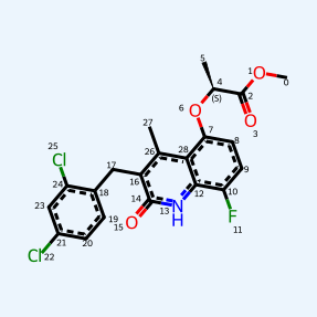 COC(=O)[C@H](C)Oc1ccc(F)c2[nH]c(=O)c(Cc3ccc(Cl)cc3Cl)c(C)c12